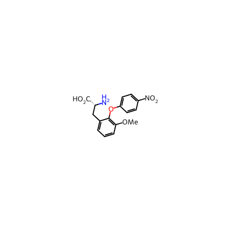 COc1cccc(C[C@@H](N)C(=O)O)c1Oc1ccc([N+](=O)[O-])cc1